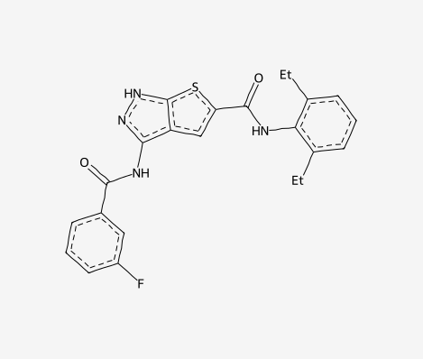 CCc1cccc(CC)c1NC(=O)c1cc2c(NC(=O)c3cccc(F)c3)n[nH]c2s1